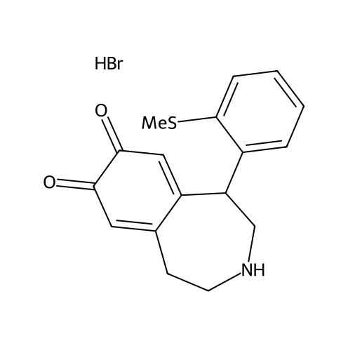 Br.CSc1ccccc1C1CNCCC2=CC(=O)C(=O)C=C21